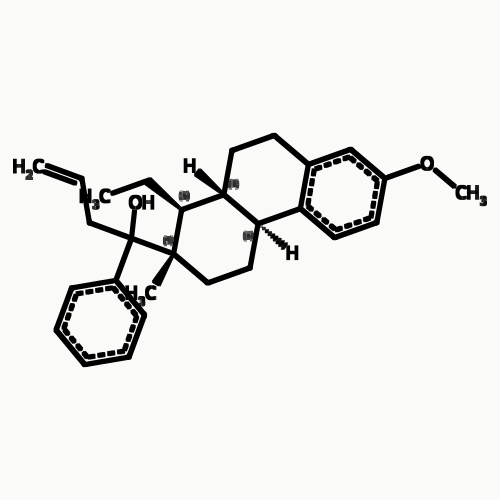 C=CCC(O)(c1ccccc1)[C@@]1(C)CC[C@@H]2c3ccc(OC)cc3CC[C@H]2[C@@H]1CC